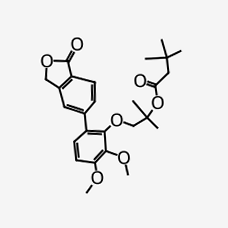 COc1ccc(-c2ccc3c(c2)COC3=O)c(OCC(C)(C)OC(=O)CC(C)(C)C)c1OC